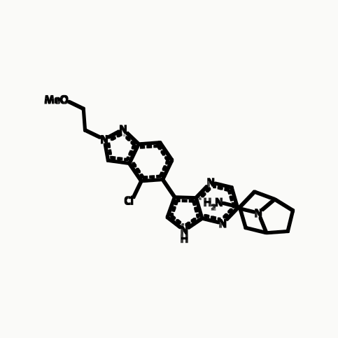 COCCn1cc2c(Cl)c(-c3c[nH]c4nc(N5C6CCC5CC(N)C6)cnc34)ccc2n1